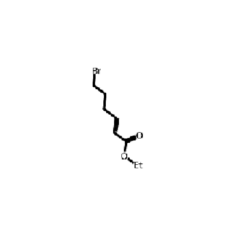 CCOC(=O)C=CCCCBr